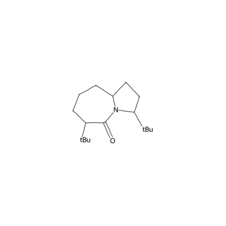 CC(C)(C)C1CCCC2CCC(C(C)(C)C)N2C1=O